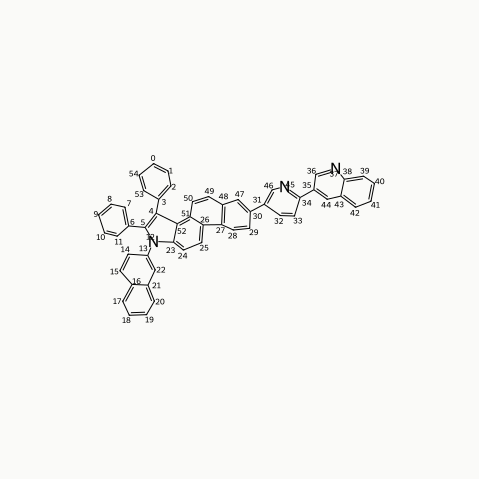 c1ccc(-c2c(-c3ccccc3)n(-c3ccc4ccccc4c3)c3ccc4c5ccc(-c6ccc(-c7cnc8ccccc8c7)nc6)cc5ccc4c23)cc1